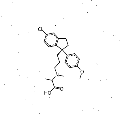 COc1ccc([C@@]2(CCCN(C)C(C)C(=O)O)CCc3cc(Cl)ccc32)cc1